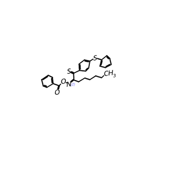 CCCCCC/C(=N/OC(=O)c1ccccc1)C(=S)c1ccc(Sc2ccccc2)cc1